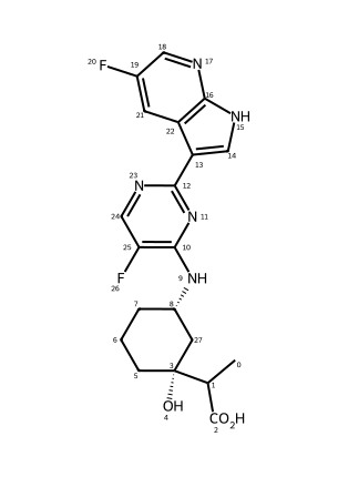 CC(C(=O)O)[C@@]1(O)CCC[C@H](Nc2nc(-c3c[nH]c4ncc(F)cc34)ncc2F)C1